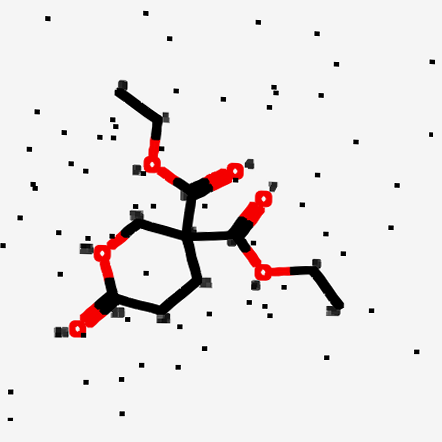 CCOC(=O)C1(C(=O)OCC)CCC(=O)OC1